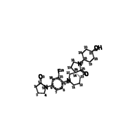 O=C1CCCN1c1ccc(N2CCC[C@@]3(CCN(C4CCC(O)CC4)C3=O)C2)c(F)c1